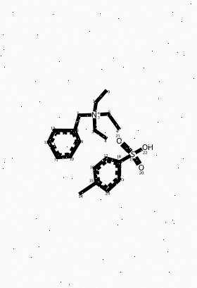 CC[N+](CC)(CC)Cc1ccccc1.Cc1ccc(S(=O)(=O)O)cc1